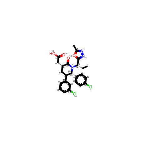 CC[C@@H](c1nnc(C)o1)N1C(=O)[C@@H](CC(=O)O)CC(c2cccc(Cl)c2)[C@H]1c1ccc(Cl)cc1